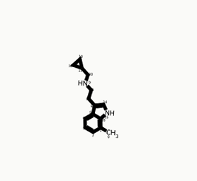 Cc1cccc2c(CCNCC3CC3)c[nH]c12